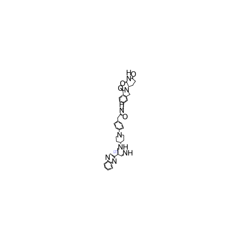 N=C/C(=C\NC1CCN(c2ccc(CC(=O)NCc3ccc4c(c3)CN(C3CCC(=O)NC3=O)C4=O)cc2)CC1)c1cnc2ccccc2n1